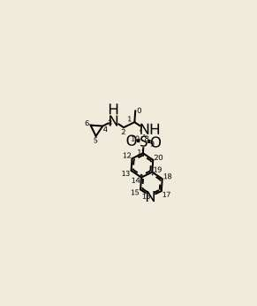 CC(CNC1CC1)NS(=O)(=O)c1ccc2cnccc2c1